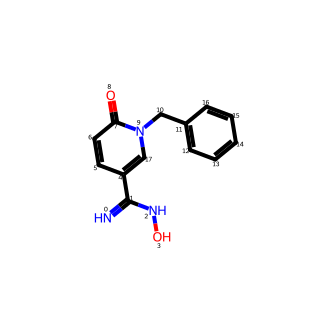 N=C(NO)c1ccc(=O)n(Cc2ccccc2)c1